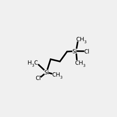 C[Si](C)(Cl)CCC[Si](C)(C)Cl